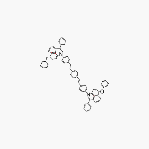 C(=C(c1ccccc1)c1ccccc1)N(c1ccc(CCc2ccc(/C=C/c3ccc(N(C=C(c4ccccc4)c4ccccc4)c4ccc(Oc5ccccc5)cc4)cc3)cc2)cc1)c1ccc(Cc2ccccc2)cc1